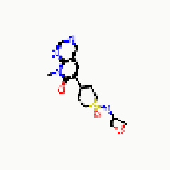 Cn1c(=O)c(C2CCS(=O)(=NC3COC3)CC2)cc2cncnc21